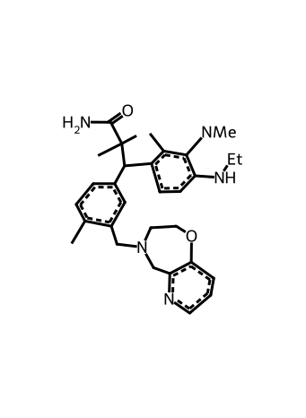 CCNc1ccc(C(c2ccc(C)c(CN3CCOc4cccnc4C3)c2)C(C)(C)C(N)=O)c(C)c1NC